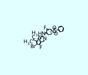 CC(C)c1c(Br)c(F)c2cnc(N[C@@H]3CCN(S(=O)(=O)c4ccccc4)C[C@H]3F)nn12